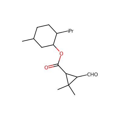 CC1CCC(C(C)C)C(OC(=O)C2C(C=O)C2(C)C)C1